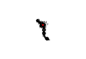 CN1CCN(CCOc2ccc(N3CCN(C(=O)[C@](C)(c4ccccc4)n4ncc5c4nc(N)n4nc(-c6ccco6)nc54)CC3)cc2)CC1